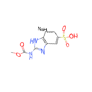 COC(=O)Nc1nc2cc(S(=O)(=O)O)ccc2[nH]1.[NaH]